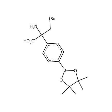 CC(C)(C)CC(N)(C(=O)O)c1ccc(B2OC(C)(C)C(C)(C)O2)cc1